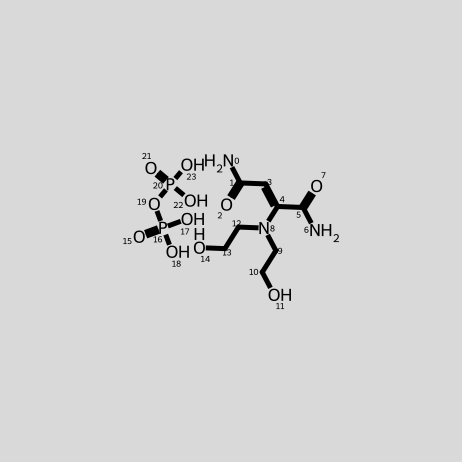 NC(=O)/C=C(/C(N)=O)N(CCO)CCO.O=P(O)(O)OP(=O)(O)O